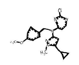 COc1ccc(CN(c2ccnc(Cl)n2)c2cc(C3CC3)n(C)n2)cc1